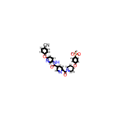 CS(=O)(=O)c1ccc(OC2CCN(C(=O)c3ccc(C(=O)Nc4ccc(Oc5ccc(C#N)cc5)nc4)cn3)CC2)cc1